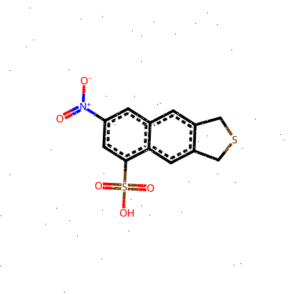 O=[N+]([O-])c1cc(S(=O)(=O)O)c2cc3c(cc2c1)CSC3